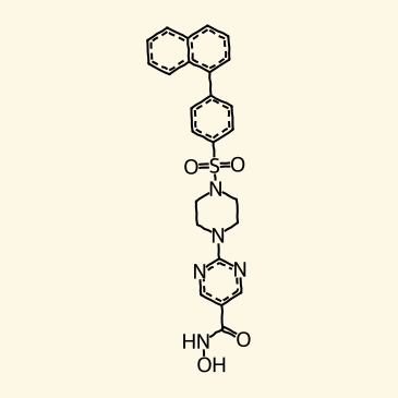 O=C(NO)c1cnc(N2CCN(S(=O)(=O)c3ccc(-c4cccc5ccccc45)cc3)CC2)nc1